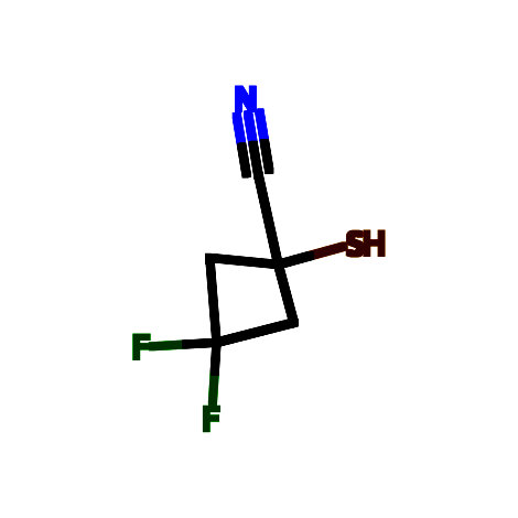 N#CC1(S)CC(F)(F)C1